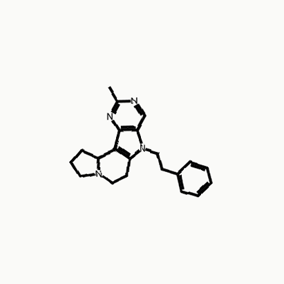 Cc1ncc2c(n1)c1c(n2CCc2ccccc2)CCN2CCCC12